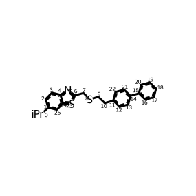 CC(C)c1ccc2nc(CSCCc3ccc(-c4ccccc4)cc3)sc2c1